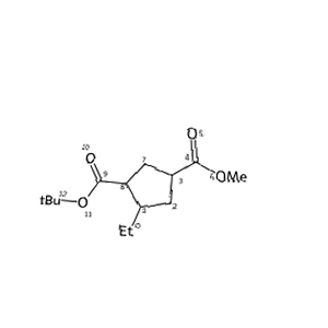 CCC1CC(C(=O)OC)CC1C(=O)OC(C)(C)C